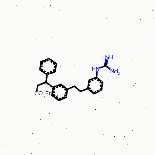 CCOC(=O)CC(c1ccccc1)c1cccc(CCc2cccc(NC(=N)N)c2)c1